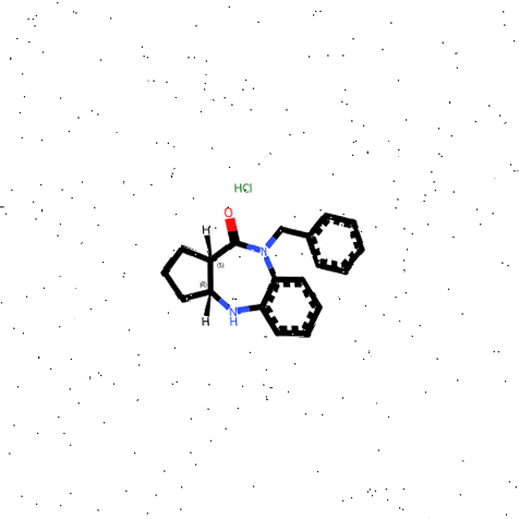 Cl.O=C1[C@H]2CCC[C@H]2Nc2ccccc2N1Cc1ccccc1